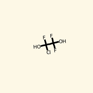 OC(F)(F)C(O)(F)Cl